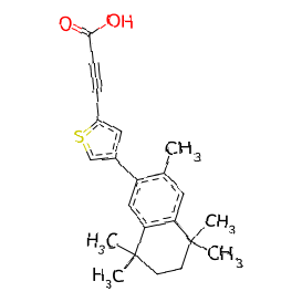 Cc1cc2c(cc1-c1csc(C#CC(=O)O)c1)C(C)(C)CCC2(C)C